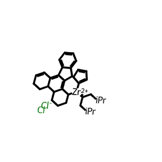 CC(C)C[C](CC(C)C)=[Zr+2]([C]1=CC=CC1)[CH]1CCCC2C1=C1Cc3ccccc3C1=C1C=CCCC12.[Cl-].[Cl-]